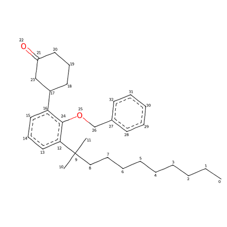 CCCCCCCCCC(C)(C)c1cccc(C2CCCC(=O)C2)c1OCc1ccccc1